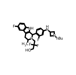 CCCCN1CC(Nc2ccc(C3c4[nH]c5ccc(F)cc5c4CC(C)N3CC(F)(F)CO)c(F)c2)C1